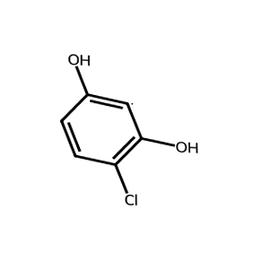 Oc1[c]c(O)c(Cl)cc1